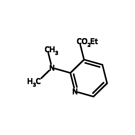 CCOC(=O)c1cccnc1N(C)C